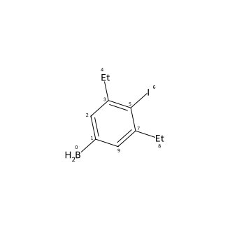 Bc1cc(CC)c(I)c(CC)c1